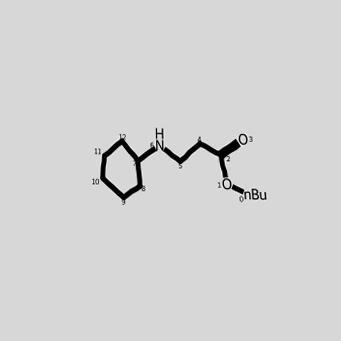 CCCCOC(=O)CCNC1CCCCC1